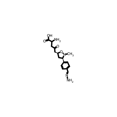 CN1O[C@H](CC(=O)CC(N)C(=O)O)C[C@@H]1c1ccc(C=NN)cc1